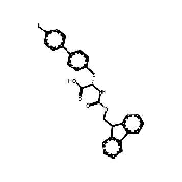 O=C(N[C@@H](Cc1ccc(-c2ccc(I)cc2)cc1)C(=O)O)OCC1c2ccccc2-c2ccccc21